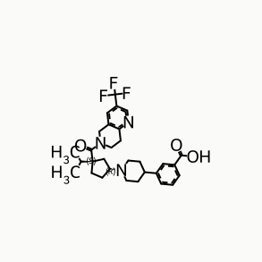 CC(C)[C@]1(C(=O)N2CCc3ncc(C(F)(F)F)cc3C2)CC[C@@H](N2CCC(c3cccc(C(=O)O)c3)CC2)C1